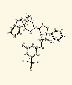 C[C@H]1CN(C2CCC(C(=O)NCc3cc(F)cc(C(F)(F)F)c3)(c3ccccc3)C2)CC[C@@]12C=Cc1ccccc12